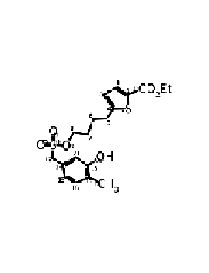 CCOC(=O)c1ccc(CCCCOS(=O)(=O)Cc2ccc(C)c(O)c2)s1